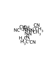 CC(C#N)CN(C)c1nc(N(C)CC(C)C#N)nc(N(C)CC(C)C#N)n1